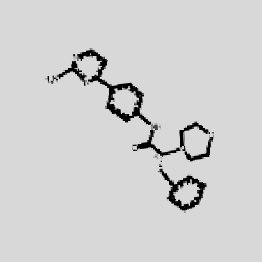 Nc1nccc(-c2ccc(NC(=O)[C@@H](Cc3ccccc3)N3CCOCC3)cc2)n1